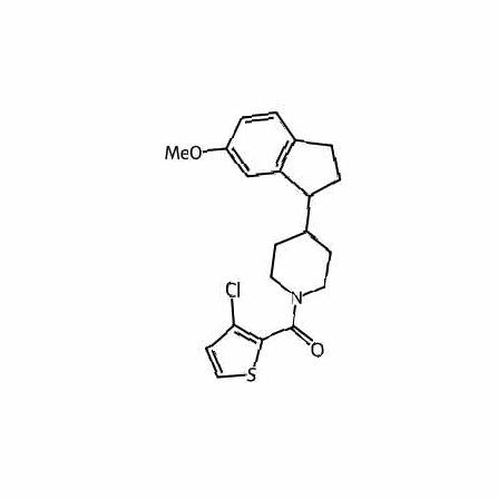 COc1ccc2c(c1)C(C1CCN(C(=O)c3sccc3Cl)CC1)CC2